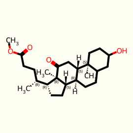 COC(=O)CC[C@@H](C)[C@H]1CC[C@H]2[C@@H]3CCC4CC(O)CC[C@]4(C)[C@H]3CC(=O)[C@]12C